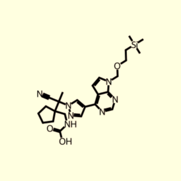 CC(C#N)(n1cc(-c2ncnc3c2ccn3COCC[Si](C)(C)C)cn1)C1(CNC(=O)O)CCCC1